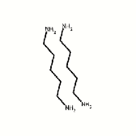 NCCCCCN.NCCCCCN